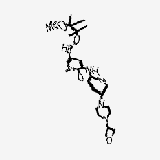 COC(C)(C)C(C)(C)OBc1cc(Nc2ccc(N3CCN(C4COC4)CC3)cn2)c(=O)n(C)c1